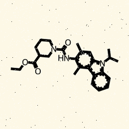 CCOC(=O)C1CCCN(C(=O)Nc2c(C)cc3c(c2C)c2ccccc2n3C(C)C)C1